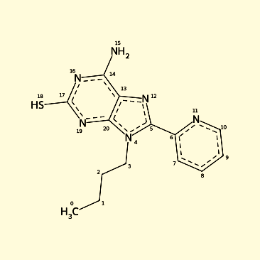 CCCCn1c(-c2ccccn2)nc2c(N)nc(S)nc21